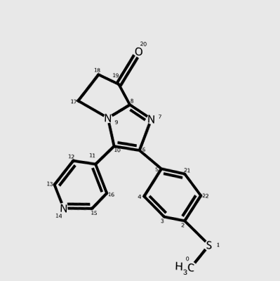 CSc1ccc(-c2nc3n(c2-c2ccncc2)CCC3=O)cc1